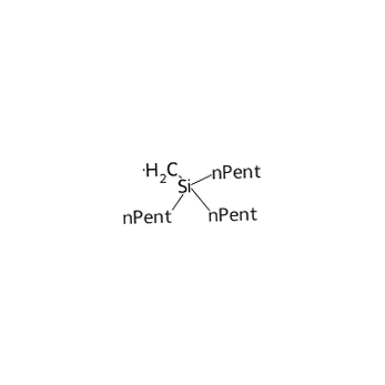 [CH2][Si](CCCCC)(CCCCC)CCCCC